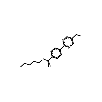 CCCCCOC(=O)c1ccc(-c2ncc(CC)cn2)cc1